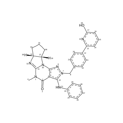 CN1C(=O)c2c(nn(Cc3ccc(-c4cccc(O)n4)cc3)c2Nc2ccccc2)N2C1=N[C@@H]1CCC[C@@H]12